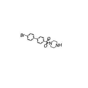 O=S(=O)(c1ccc(-c2ccc(Br)cc2)cc1)N1CCNCC1